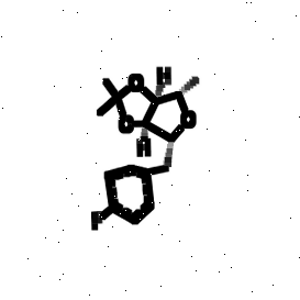 C[C@@H]1O[C@H](Cc2ccc(F)cc2)[C@H]2OC(C)(C)O[C@H]21